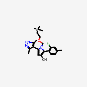 Cc1ccc(-c2c(C#N)cc(-c3c(C)n[nH]c3C)n2COCC[Si](C)(C)C)c(F)c1